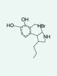 Br.CCCC1CNC2CCc3c(ccc(O)c3O)C12